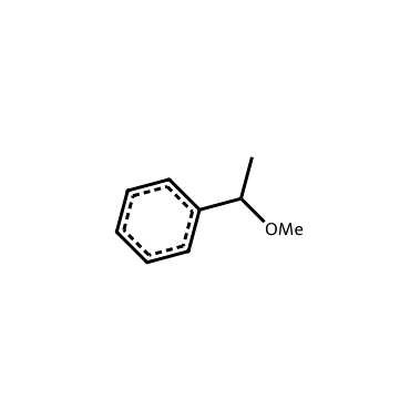 [CH2]OC(C)c1ccccc1